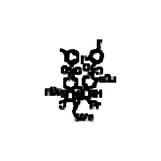 CCCCC1CC2(CCN1S(=O)(=O)c1ccc(F)cc1F)NC(C(C)C)C(=O)N2C1CN(S(=O)(=O)c2cccc(C)c2)CCC12NC(CCSC)C(=O)N2CCCC